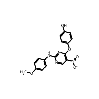 COc1ccc(Nc2ncc([N+](=O)[O-])c(Oc3ccc(O)cc3)n2)cc1